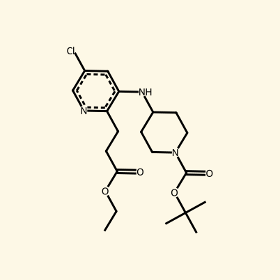 CCOC(=O)CCc1ncc(Cl)cc1NC1CCN(C(=O)OC(C)(C)C)CC1